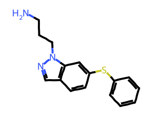 NCCCn1ncc2ccc(Sc3ccccc3)cc21